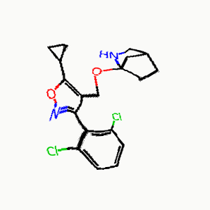 Clc1cccc(Cl)c1-c1noc(C2CC2)c1COC12CCC(CN1)C2